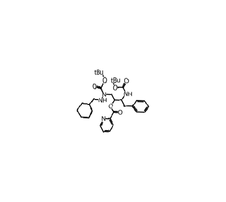 CC(C)(C)OC(=O)NC(Cc1ccccc1)C(CN(NCC1CCCCC1)C(=O)OC(C)(C)C)OC(=O)c1ccccn1